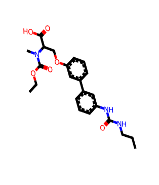 CCCNC(=O)Nc1cccc(-c2cccc(OCC(C(=O)O)N(C)C(=O)OCC)c2)c1